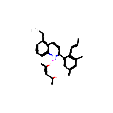 C/C=C/c1c(C)cc(C)cc1C1C=Cc2c(CC(C)C)cccc2N1O/C(C)=C\C(C)O